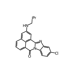 CC(C)CNc1cc2cccc3c(=O)n4c5ccc(Cl)cc5nc4c(c1)c23